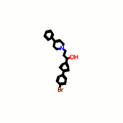 OC(CCN1CC=C(c2ccccc2)CC1)c1ccc(-c2ccc(Br)cc2)cc1